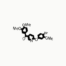 COc1cc(Oc2ccc(C(=O)c3ccc(OC)c(OC)c3)cn2)ccc1Br